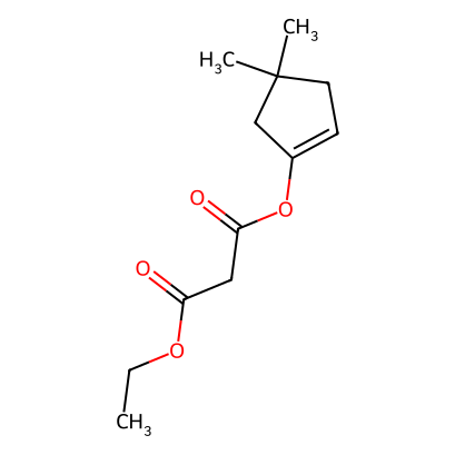 CCOC(=O)CC(=O)OC1=CCC(C)(C)C1